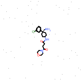 NC[C@]1(c2cccc(Cl)c2)CC[C@H](NC(=O)CCC(=O)N2CCOCC2)CC1